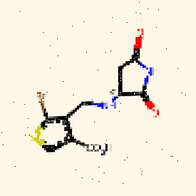 O=C1C[C@H](NCc2c(C(=O)O)csc2Br)C(=O)N1